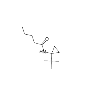 CCCCC(=O)NC1(C(C)(C)C)CC1